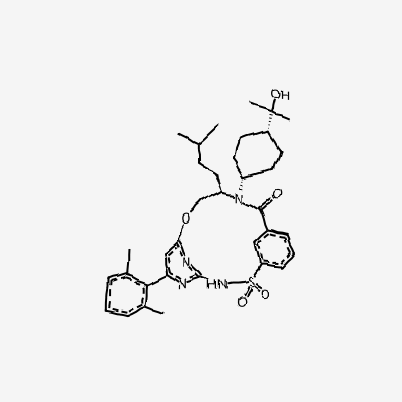 Cc1cccc(C)c1-c1cc2nc(n1)NS(=O)(=O)c1cccc(c1)C(=O)N([C@H]1CC[C@@H](C(C)(C)O)CC1)[C@H](CCC(C)C)CO2